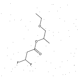 CCOCC(C)OC(=O)CC(F)F